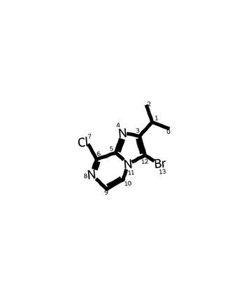 CC(C)c1nc2c(Cl)nccn2c1Br